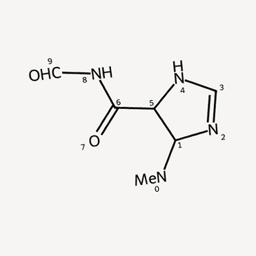 CNC1N=CNC1C(=O)NC=O